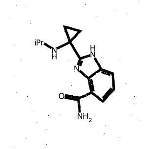 CC(C)NC1(c2nc3c(C(N)=O)cccc3[nH]2)CC1